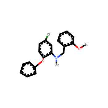 CCOc1ccccc1CN(C(C)=O)c1cc(Cl)ccc1Oc1ccccc1